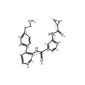 CCCc1ccc(-c2ccncc2NC(=O)c2ccnc(NC(=O)C3CC3)c2)cc1